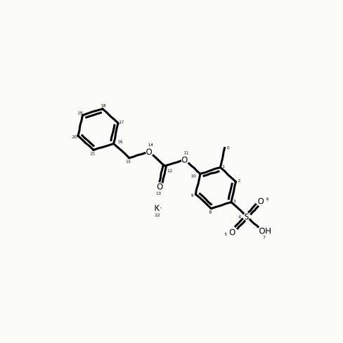 Cc1cc(S(=O)(=O)O)ccc1OC(=O)OCc1ccccc1.[K]